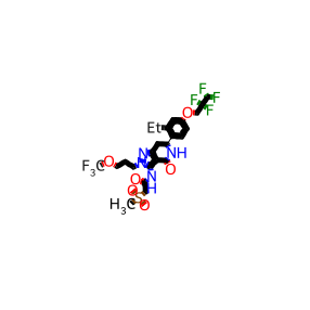 CCc1cc(OCC(F)(F)C(F)F)ccc1[C@H]1Cc2nn(CCCOC(F)(F)F)c(NC(=O)CS(C)(=O)=O)c2C(=O)N1